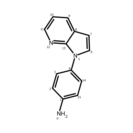 Nc1ccc(-n2ccc3cccnc32)cc1